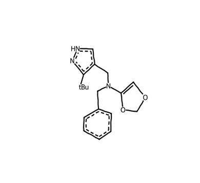 CC(C)(C)c1n[nH]cc1CN(Cc1ccccc1)C1=COCO1